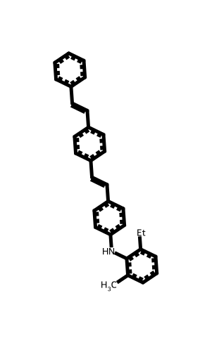 CCc1cccc(C)c1Nc1ccc(/C=C/c2ccc(/C=C/c3ccccc3)cc2)cc1